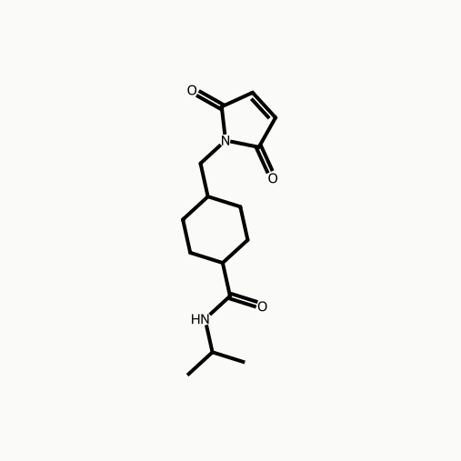 CC(C)NC(=O)C1CCC(CN2C(=O)C=CC2=O)CC1